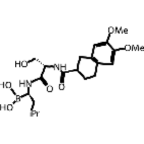 COc1cc2c(cc1OC)CC(C(=O)N[C@@H](CO)C(=O)N[C@@H](CC(C)C)B(O)O)CC2